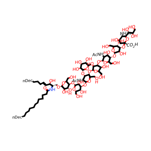 CCCCCCCCCCCCC/C=C/[C@@H](O)[C@H](CO[C@@H]1OC(CO)[C@@H](O[C@@H]2OC(CO)[C@H](O)[C@H](O[C@@H]3OC(CO)[C@@H](O[C@@H]4OC(CO)[C@H](O)[C@H](O[C@@H]5OC(CO)[C@@H](O[C@@H]6OC(CO)[C@H](O)[C@H](O[C@]7(C(=O)O)CC(O)[C@@H](NC(C)=O)C([C@H](O)[C@H](O)CO)O7)C6O)[C@H](O)C5NC(C)=O)C4O)[C@H](O[C@H]4OC(C)[C@@H](O)C(O)[C@@H]4O)C3NC(C)=O)C2O)[C@H](O)C1O)NC(=O)CCCCCCCCCCCCCCCCCCCCC